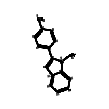 CCCn1c(-c2ccc(C)cc2)cc2ccccc21